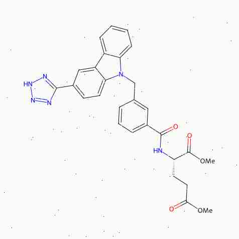 COC(=O)CC[C@H](NC(=O)c1cccc(Cn2c3ccccc3c3cc(-c4nn[nH]n4)ccc32)c1)C(=O)OC